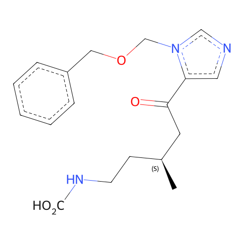 C[C@@H](CCNC(=O)O)CC(=O)c1cncn1COCc1ccccc1